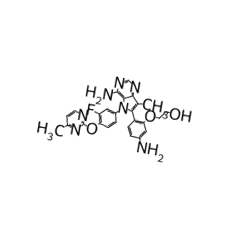 Cc1ccnc(Oc2ccc(-n3c(-c4ccc(N)cc4OCCO)c(C)c4ncnc(N)c43)cc2F)n1